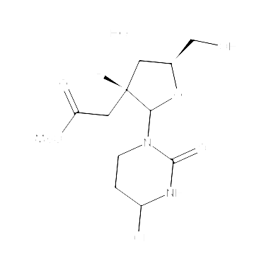 COC(=O)C[C@@]1(F)C(N2CCC(O)NC2=O)O[C@H](CO)[C@H]1O